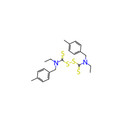 CCN(Cc1ccc(C)cc1)C(=S)SSC(=S)N(CC)Cc1ccc(C)cc1